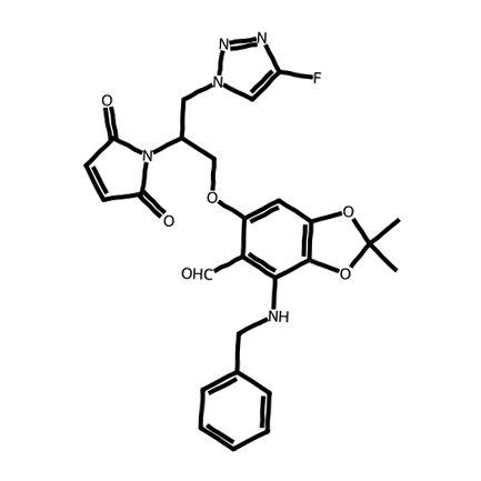 CC1(C)Oc2cc(OCC(Cn3cc(F)nn3)N3C(=O)C=CC3=O)c(C=O)c(NCc3ccccc3)c2O1